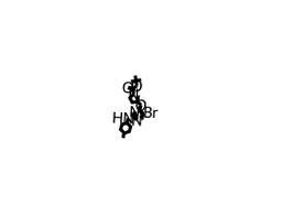 CC1CCC(Nc2ncc(Br)c(OC3CCN(C(=O)OC(C)(C)C)C3)n2)CC1